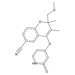 COCC1(C)Oc2ccc(C#N)cc2C(Oc2cc[nH]c(=O)c2)=C1C